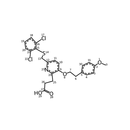 COc1ccc(CCOc2ccc(CSc3c(Cl)cccc3Cl)nc2CCC(=O)O)cc1